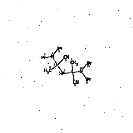 CC(C)N(C(C)C)C(C)(C#N)PC(C)(C#N)N(C(C)C)C(C)C